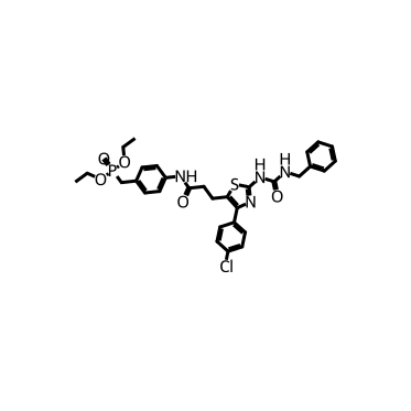 CCOP(=O)(Cc1ccc(NC(=O)CCc2sc(NC(=O)NCc3ccccc3)nc2-c2ccc(Cl)cc2)cc1)OCC